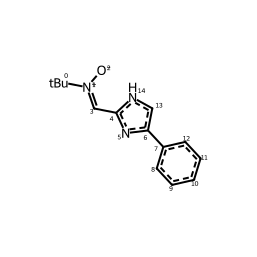 CC(C)(C)/[N+]([O-])=C/c1nc(-c2ccccc2)c[nH]1